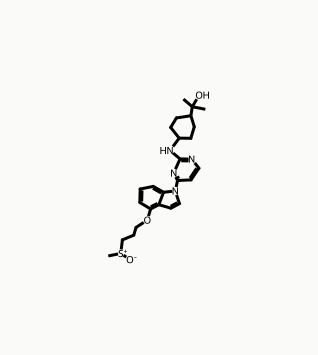 C[S+]([O-])CCCOc1cccc2c1ccn2-c1ccnc(NC2CCC(C(C)(C)O)CC2)n1